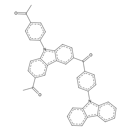 CC(=O)c1ccc(-n2c3ccc(C(C)=O)cc3c3cc(C(=O)c4ccc(-n5c6ccccc6c6ccccc65)cc4)ccc32)cc1